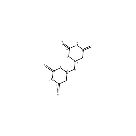 C=C1CN(CN2CC(=O)OC(=O)C2)CC(=O)O1